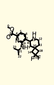 COC(=O)c1ccc(C2CC3(CCN2)CC(F)(F)C3)c(NC(C)C)n1